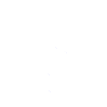 c1ccc2c(c1)-c1cccc3c(-c4nc(-c5ccc(-n6c7ccccc7c7ncccc76)cc5)nc5ccccc45)ccc-2c13